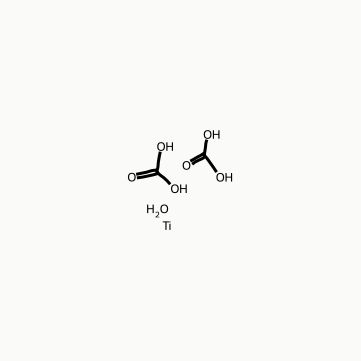 O.O=C(O)O.O=C(O)O.[Ti]